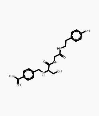 N=C(N)c1ccc(CNC(CO)C(=O)NCC(=O)NCCc2ccc(O)cc2)cc1